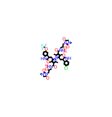 Cc1c(C(=O)NC[C@H](O)CN2C(=O)CN(C)C2=O)c(C)n(-n2c(C)c(C(=O)NC[C@H](O)CN3C(=O)CN(C)C3=O)c(C)c2C=C2C(=O)Nc3ccc(OC(F)(F)F)cc32)c1C=C1C(=O)Nc2ccc(Cl)cc21